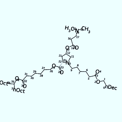 CCCCCCCCCCCOC(=O)CCCCCN1CC(OC(=O)CCN(C)C)C[C@H]1C(=O)OCCCCCCC(=O)OC(CCCCCCCC)CCCCCCCC